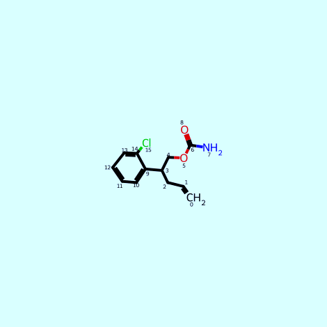 C=CCC(COC(N)=O)c1ccccc1Cl